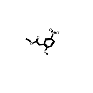 CCOC(=O)Cc1cc([N+](=O)[O-])ccc1OC